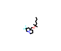 CCCCC(C)(C)OCC12CCCN1CC(F)(F)C2